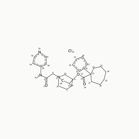 CN(C(=O)C[N+]12CCC(CC1)C(OC(=O)C1(c3ccccc3)CCCCCC1)C2)c1ccncc1.[Cl-]